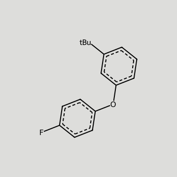 CC(C)(C)c1cccc(Oc2ccc(F)cc2)c1